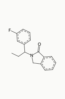 CCC(c1cccc(F)c1)N1Cc2ccccc2C1=O